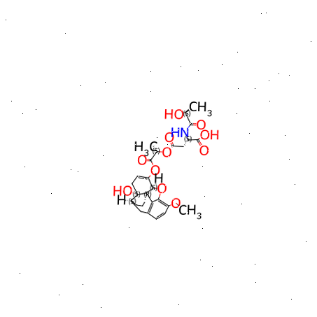 COc1ccc2c3c1O[C@@H]1C(OC(=O)[C@H](C)OC(=O)C[C@H](NC(=O)[C@H](C)O)C(=O)O)=CC[C@]4(O)[C@@H](CCC[C@@]314)C2